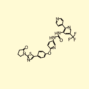 O=C(Nc1ccc(Oc2ccc(-c3cnc(N4CCCC4=O)s3)cc2)nc1)Nc1cc(C(F)(F)F)cnc1-c1ccncc1